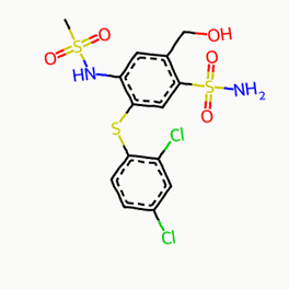 CS(=O)(=O)Nc1cc(CO)c(S(N)(=O)=O)cc1Sc1ccc(Cl)cc1Cl